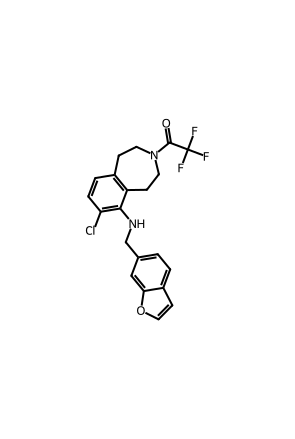 O=C(N1CCc2ccc(Cl)c(NCc3ccc4ccoc4c3)c2CC1)C(F)(F)F